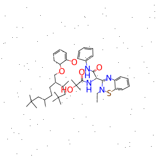 CCN1Sc2ccccc2N=C1C(NC(=O)C(C)(C)O)C(=O)Nc1ccccc1OC1=CC=CCC1OCC(CCC(C)CC(C)(C)C)C(C)CC(C)(C)C